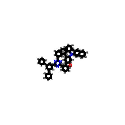 c1ccc(-c2cc(-c3ccccc3)cc(-c3nc(-c4ccccc4)nc(-c4cccc5oc6cc(-n7c8ccccc8c8cc9ccccc9cc87)c(-c7ccccc7)cc6c45)n3)c2)cc1